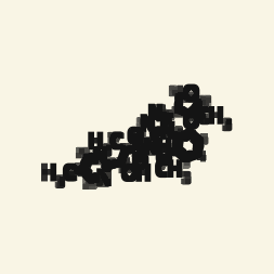 COc1cccc(OC)c1-n1c(NS(=O)(=O)[C@@H](C)[C@H](O)c2ncc(C)cn2)nnc1[C@H]1CCOC1